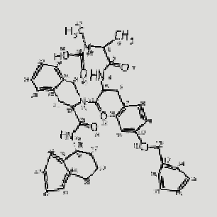 CC(C(=O)NC(Cc1ccc(OCc2ccccc2)cc1)C(=O)N1Cc2ccccc2CC1C(=O)N[C@@H]1CCCc2ccccc21)N(C)C(=O)O